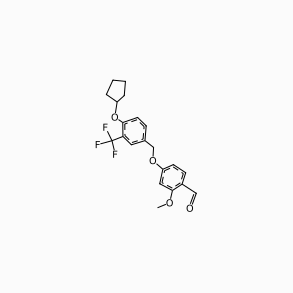 COc1cc(OCc2ccc(OC3CCCC3)c(C(F)(F)F)c2)ccc1C=O